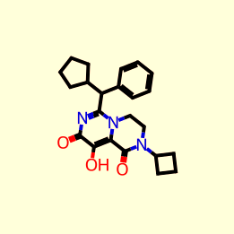 O=C1c2c(O)c(=O)nc(C(c3ccccc3)C3CCCC3)n2CCN1C1CCC1